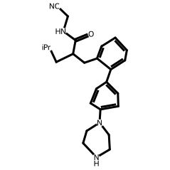 CC(C)CC(Cc1ccccc1-c1ccc(N2CCNCC2)cc1)C(=O)NCC#N